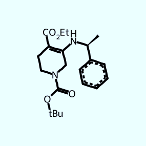 CCOC(=O)C1=C(N[C@@H](C)c2ccccc2)CN(C(=O)OC(C)(C)C)CC1